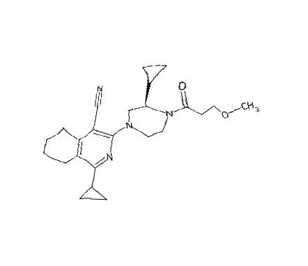 COCCC(=O)N1CCN(c2nc(C3CC3)c3c(c2C#N)CCCC3)C[C@H]1C1CC1